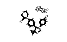 NC=O.NC=O.O=C1COCCN1c1ccc(C2N(c3ccc(Cl)cc3)COC23CC3)cc1